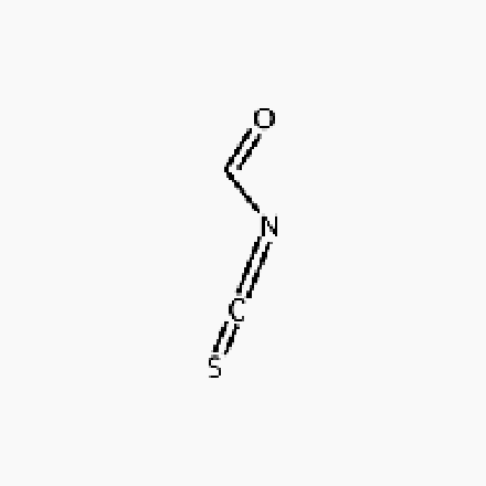 O=CN=C=S